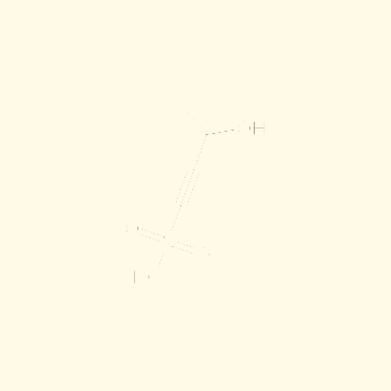 CC(O)C#CS(=O)(=O)O